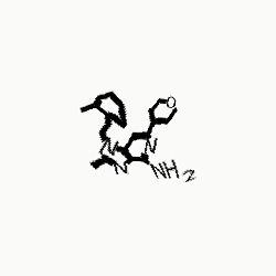 Cc1ccccc1Cn1c(C)nc2c(N)nc(C3=CCOCC3)cc21